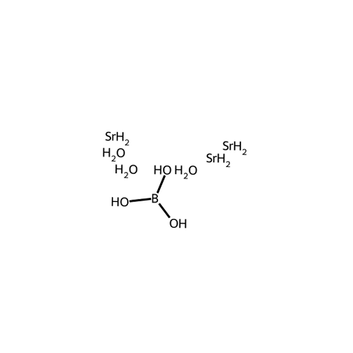 O.O.O.OB(O)O.[SrH2].[SrH2].[SrH2]